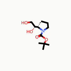 CC(C)(C)OC(=O)N1CCC[C@H]1[C@H](O)CO